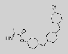 CCC1CCC(CC2CCC(CC3CCC(OC(=O)C(C)=N)CC3)CC2)CC1